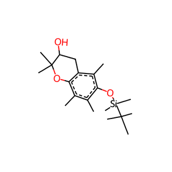 Cc1c(C)c2c(c(C)c1O[Si](C)(C)C(C)(C)C)CC(O)C(C)(C)O2